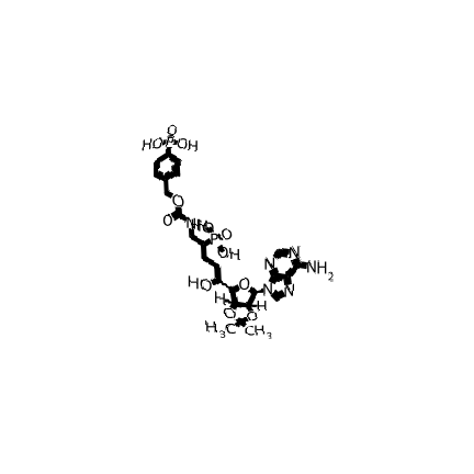 CC1(C)O[C@@H]2[C@H](O1)[C@@H](C(O)CCC(CNC(=O)OCc1ccc(P(=O)(O)O)cc1)P(=O)(O)O)O[C@H]2n1cnc2c(N)ncnc21